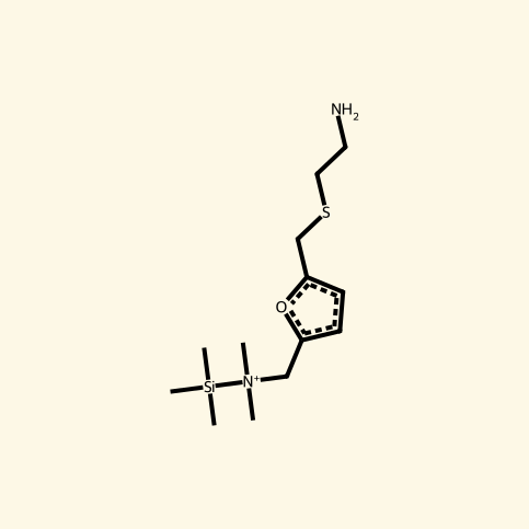 C[N+](C)(Cc1ccc(CSCCN)o1)[Si](C)(C)C